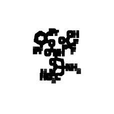 CC(C)c1cccc(C(C)C)c1OC(=O)NCC[C@](N)(CC(=O)O)C(N)=O.O=C(O)C(F)(F)F